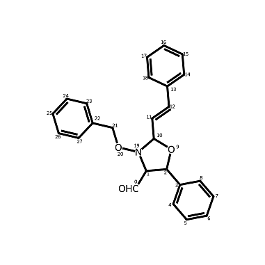 O=CC1C(c2ccccc2)OC(C=Cc2ccccc2)N1OCc1ccccc1